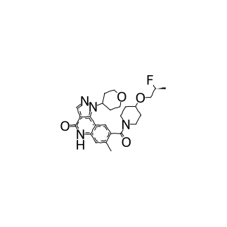 Cc1cc2[nH]c(=O)c3cnn(C4CCOCC4)c3c2cc1C(=O)N1CCC(OC[C@H](C)F)CC1